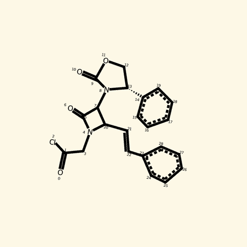 O=C(Cl)CN1C(=O)C(N2C(=O)OC[C@@H]2c2ccccc2)C1C=Cc1ccccc1